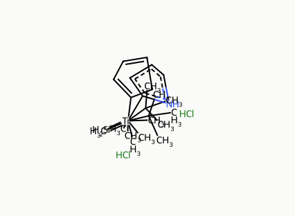 C[C](C)(C)[Ti]([CH3])([CH3])([CH3])([CH3])([CH3])([CH3])(=[SiH2])([C]1=CC=CC1)([c]1ccc[nH]1)[C](C)(C)C.Cl.Cl